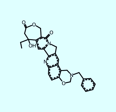 CCC1(O)CC(=O)OCc2c1cc1n(c2=O)Cc2cc3c4c(ccc3nc2-1)OCN(Cc1ccccc1)C4